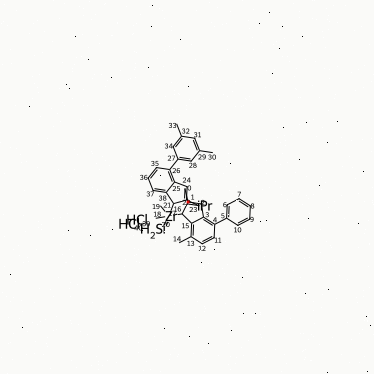 CC1=Cc2c(-c3ccccc3)ccc(C)c2[CH]1[Zr]([CH3])([CH3])(=[SiH2])[CH]1C(C(C)C)=Cc2c(-c3cc(C)cc(C)c3)cccc21.Cl.Cl